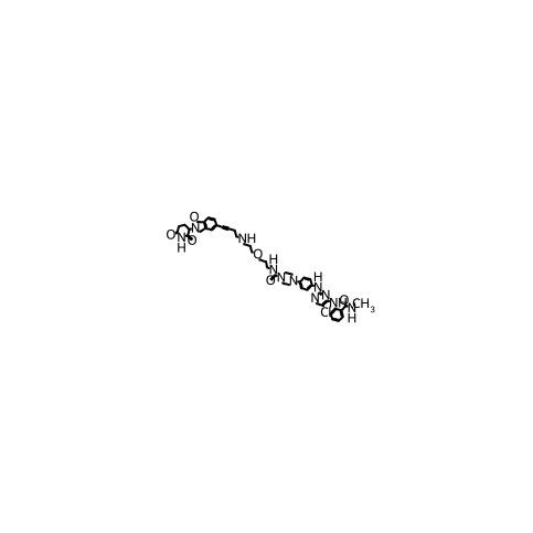 CNC(=O)c1ccccc1Nc1nc(Nc2ccc(N3CCN(C(=O)NCCCOCCCNCCC#Cc4ccc5c(c4)CN(C4CCC(=O)NC4=O)C5=O)CC3)cc2)ncc1Cl